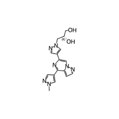 Cn1cc(-c2nc(-c3cnn(C[C@@H](O)CO)c3)cn3nccc23)cn1